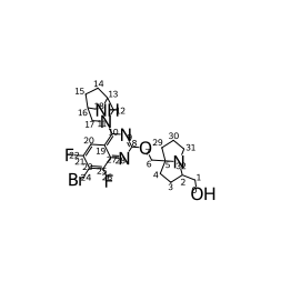 OCC1CCC2(COc3nc(N4CC5CCC(C4)N5)c4cc(F)c(Br)c(F)c4n3)CCCN12